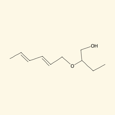 C/C=C/C=C/COC(CC)CO